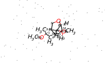 [3H]O[C@H]1[C@H]2OC[C@]1(C(C)(C)OC)CC[C@H]2C